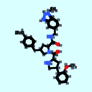 COc1ccc(CC2CC(C(=O)NCc3ccc4c(c3)nnn4C)N(C(=O)C3CC(c4ccccc4OC(F)(F)F)CN3)C2)cc1